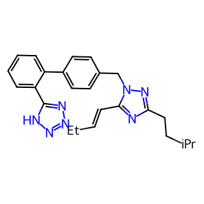 CC/C=C/c1nc(CCC(C)C)nn1Cc1ccc(-c2ccccc2-c2nnn[nH]2)cc1